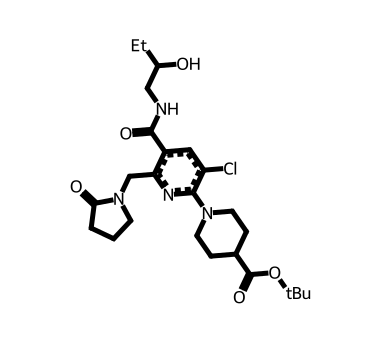 CCC(O)CNC(=O)c1cc(Cl)c(N2CCC(C(=O)OC(C)(C)C)CC2)nc1CN1CCCC1=O